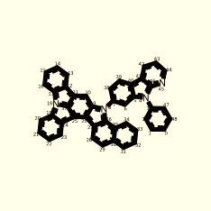 c1ccc(-n2c3cc(-n4c5cc6c7ccccc7n7c8ccccc8c(c5c5ccc8ccccc8c54)c67)ccc3c3cccnc32)cc1